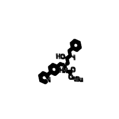 CC(C)(C)OC(=O)NN(Cc1ccc(-c2ccccn2)cc1)C[C@H](O)[C@@H](I)Cc1ccccc1